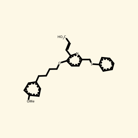 COc1ccc(CCCCOc2ccc(CSc3ccccc3)nc2/C=C/C(=O)O)cc1